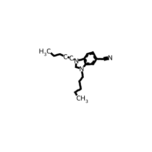 CCCCCN1CN(CCCCC)c2cc(C#N)ccc21